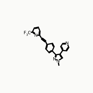 Cn1cc(-c2ccncc2)c(-c2ccc(C#Cc3cccc(C(F)(F)F)n3)cc2)n1